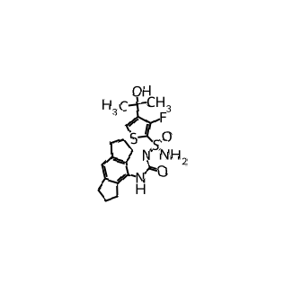 CC(C)(O)c1csc([S@](N)(=O)=NC(=O)Nc2c3c(cc4c2CCC4)CCC3)c1F